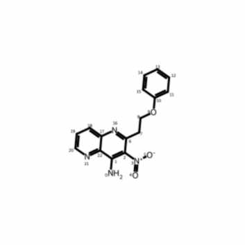 Nc1c([N+](=O)[O-])c(CCOc2ccccc2)nc2cccnc12